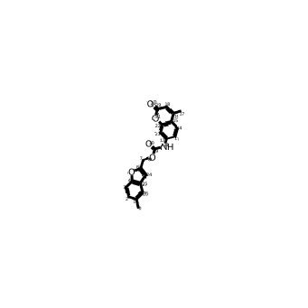 Cc1ccc2oc(COC(=O)Nc3ccc4c(C)cc(=O)oc4c3)cc2c1